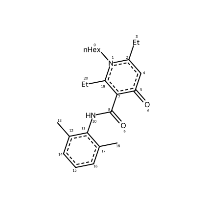 CCCCCCn1c(CC)cc(=O)c(C(=O)Nc2c(C)cccc2C)c1CC